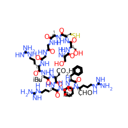 CC[C@H](C)[C@H](NC(=O)[C@H](CCCNC(=N)N)NC(=O)CNC(=O)CNC(=O)[C@H](C)NC(=O)[C@H](CS)NC(=O)[C@H](CO)NC(=O)[C@@H](N)CO)C(=O)N[C@@H](CC(=O)O)C(=O)N[C@@H](CCCNC(=N)N)C(=O)N[C@H](C(=O)N[C@@H](Cc1ccccc1)C(=O)N(C1CCCCC1)[C@H]([C]=O)CCCNC(=N)N)[C@@H](C)CC